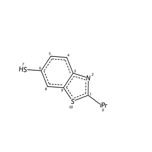 CC(C)c1nc2ccc(S)cc2s1